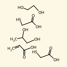 C=CC(=O)O.CC(O)CO.O=C(O)CS.O=C(O)CS.OCCO